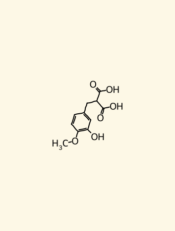 COc1ccc(CC(C(=O)O)C(=O)O)cc1O